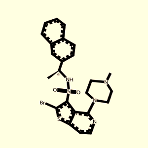 C[C@H](NS(=O)(=O)c1c(Br)sc2ccnc(N3CCN(C)CC3)c12)c1ccc2ccccc2c1